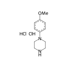 COc1ccc(N2CCNCC2)cc1.Cl.Cl